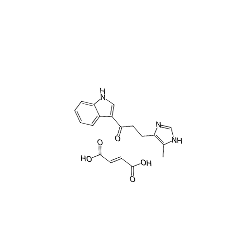 Cc1[nH]cnc1CCC(=O)c1c[nH]c2ccccc12.O=C(O)C=CC(=O)O